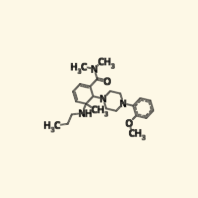 CCCNC1(C)C=CC=C(C(=O)N(C)C)C1N1CCN(c2ccccc2OC)CC1